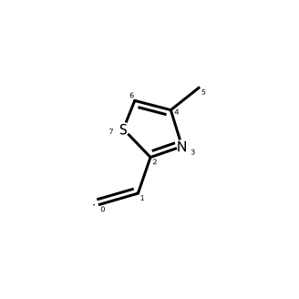 [CH]=Cc1nc(C)cs1